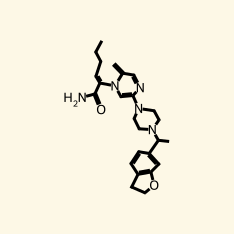 C=C1C=NC(N2CCN(C(C)c3ccc4c(c3)OCC4)CC2)=CN1/C(=C\CCC)C(N)=O